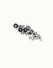 Cc1ccc2c(ncn2C2CCCCO2)c1-c1c(Cl)c2c3c(ncnc3c1F)N1CCN(C(=O)OC(C)(C)C)C[C@H]1CO2